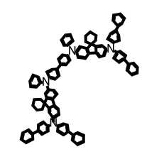 c1ccc(-c2ccc(N(c3ccc(-c4ccccc4)cc3)c3ccc4c(c3)C3(CCCCC3)c3cc(N(c5ccccc5)c5ccc(-c6ccc(N(c7ccccc7)c7ccc8c(c7)C7(CCCCC7)c7cc(N(c9ccc(-c%10ccccc%10)cc9)c9ccc(-c%10ccccc%10)cc9)ccc7-8)cc6)cc5)ccc3-4)cc2)cc1